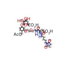 CC(=O)OCc1ccc(O[C@@H]2O[C@H](C(=O)O)C[C@H](O)[C@H]2O)cc1OCCOCCNC(=O)[C@H](CS(=O)(=O)O)NC(=O)CCCCCN1C(=O)C=CC1=O